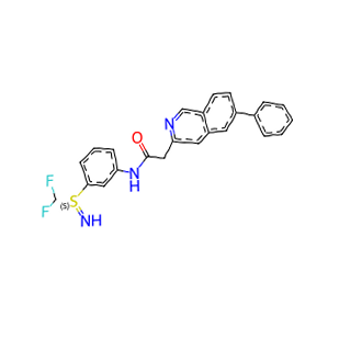 N=[S@](c1cccc(NC(=O)Cc2cc3cc(-c4ccccc4)ccc3cn2)c1)C(F)F